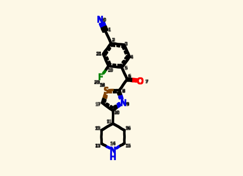 N#Cc1ccc(C(=O)c2nc(C3CCNCC3)cs2)c(F)c1